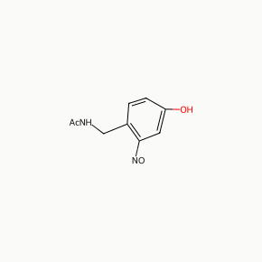 CC(=O)NCc1ccc(O)cc1N=O